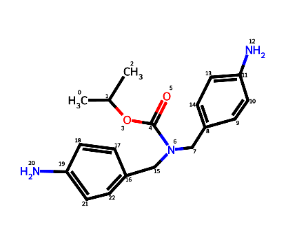 CC(C)OC(=O)N(Cc1ccc(N)cc1)Cc1ccc(N)cc1